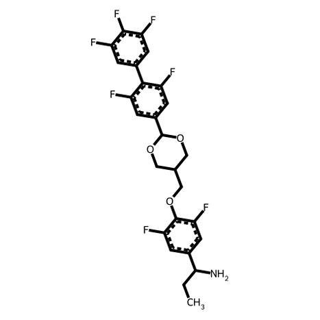 CCC(N)c1cc(F)c(OCC2COC(c3cc(F)c(-c4cc(F)c(F)c(F)c4)c(F)c3)OC2)c(F)c1